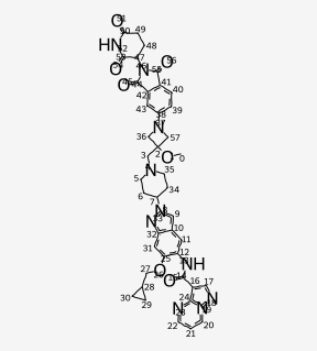 COC1(CN2CCC(n3cc4cc(NC(=O)c5cnn6cccnc56)c(OCC5CC5)cc4n3)CC2)CN(c2ccc3c(c2)C(=O)N(C2CCC(=O)NC2=O)C3=O)C1